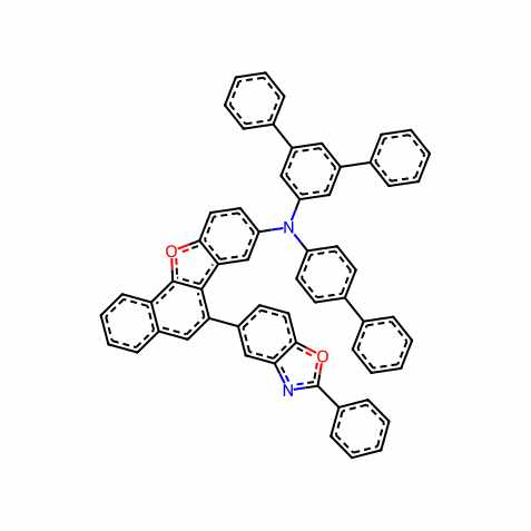 c1ccc(-c2ccc(N(c3cc(-c4ccccc4)cc(-c4ccccc4)c3)c3ccc4oc5c6ccccc6cc(-c6ccc7oc(-c8ccccc8)nc7c6)c5c4c3)cc2)cc1